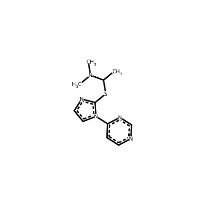 CC(Sc1nccn1-c1ccncn1)N(C)C